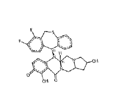 O=C1c2c(O)c(=O)ccn2N([C@@H]2c3ccccc3SCc3c2ccc(F)c3F)[C@@H]2CN3CC(O)CC3CN12